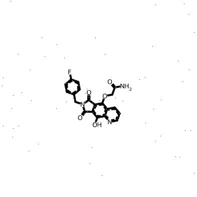 NC(=O)COc1c2c(c(O)c3ncccc13)C(=O)N(Cc1ccc(F)cc1)C2=O